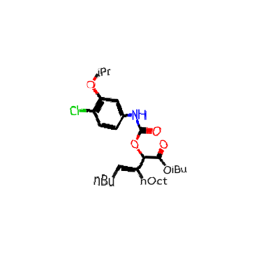 CCCCC=C(CCCCCCCC)C(OC(=O)Nc1ccc(Cl)c(OC(C)C)c1)C(=O)OCC(C)C